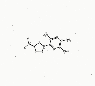 COc1nc(N2CC[C@@H](N(C)C)C2)c([N+](=O)[O-])cc1N